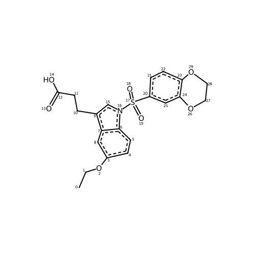 CCOc1ccc2c(c1)c(CCC(=O)O)cn2S(=O)(=O)c1ccc2c(c1)OCCO2